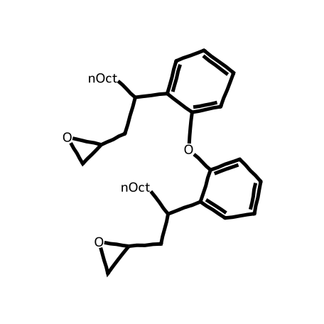 CCCCCCCCC(CC1CO1)c1ccccc1Oc1ccccc1C(CCCCCCCC)CC1CO1